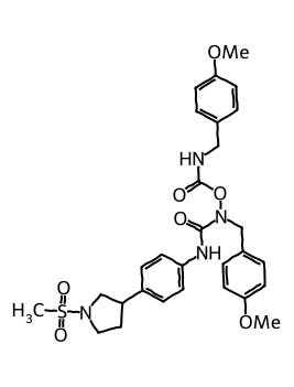 COc1ccc(CNC(=O)ON(Cc2ccc(OC)cc2)C(=O)Nc2ccc(C3CCN(S(C)(=O)=O)C3)cc2)cc1